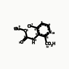 CC(C)(C)OC(=O)Nc1c(Cl)ccnc1C(=O)O